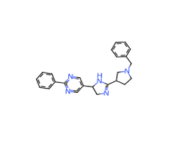 c1ccc(CN2CCC(C3=NCC(c4cnc(-c5ccccc5)nc4)N3)C2)cc1